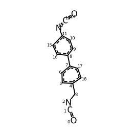 O=C=NCc1ccc(-c2ccc(N=C=O)cc2)cc1